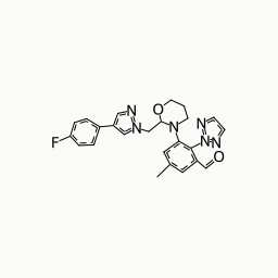 Cc1cc(C=O)c(-n2nccn2)c(N2CCCOC2Cn2cc(-c3ccc(F)cc3)cn2)c1